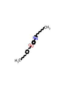 CCCCCCCCc1cnc(-c2ccc(OC(=O)CC[C@H]3CC[C@H](CCCCCC)CC3)cc2)nc1